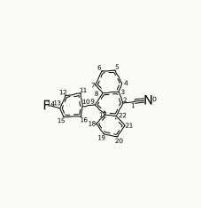 N#Cc1c2ccccc2c(-c2ccc(F)cc2)c2ccccc12